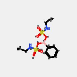 CC(C)CNS(=O)(=O)OB(OS(=O)(=O)NCC(C)C)c1ccccc1